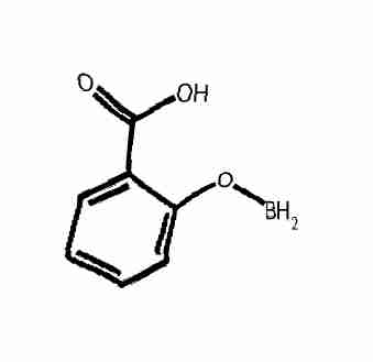 BOc1ccccc1C(=O)O